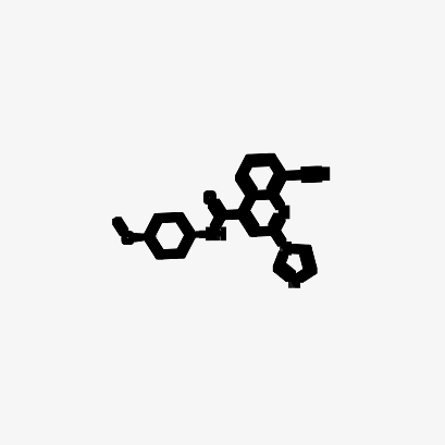 CO[C@H]1CC[C@H](NC(=O)c2cc(-n3ccnc3)nc3c(C#N)cccc23)CC1